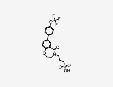 O=C1c2cc(-c3ccc(OC(F)(F)F)cc3)ccc2OCCN1CCCS(=O)(=O)O